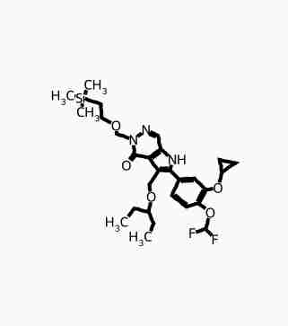 CCC(CC)OCc1c(-c2ccc(OC(F)F)c(OC3CC3)c2)[nH]c2cnn(COCC[Si](C)(C)C)c(=O)c12